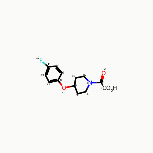 O=C(O)C(=O)N1CCC(Oc2ccc(F)cc2)CC1